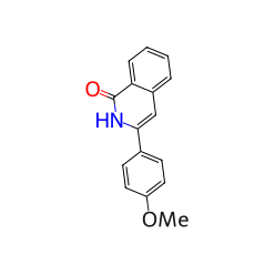 COc1ccc(-c2cc3ccccc3c(=O)[nH]2)cc1